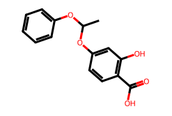 CC(Oc1ccccc1)Oc1ccc(C(=O)O)c(O)c1